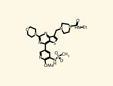 CCNC(=O)N1CCN(Cc2csc3c(-c4cnc(OC)c(NS(C)(=O)=O)c4)nc(N4CCOCC4)nc23)CC1